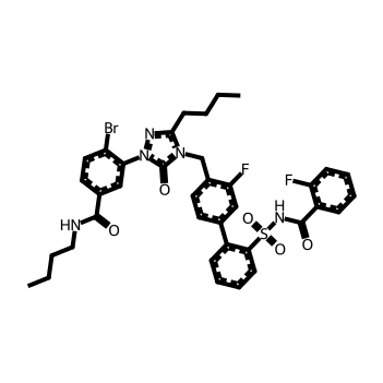 CCCCNC(=O)c1ccc(Br)c(-n2nc(CCCC)n(Cc3ccc(-c4ccccc4S(=O)(=O)NC(=O)c4ccccc4F)cc3F)c2=O)c1